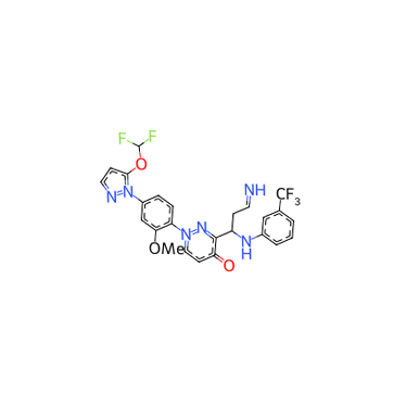 COc1cc(-n2nccc2OC(F)F)ccc1-n1ccc(=O)c(C(CC=N)Nc2cccc(C(F)(F)F)c2)n1